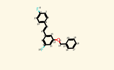 Fc1ccc(/C=C/c2cc(F)cc(OCc3ccccc3)c2)cc1